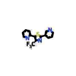 FC(F)(F)c1nc(-c2cccnc2)sc1-c1ccccn1